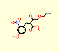 CCCOCC(=O)C(=Cc1ccc(OC)cc1[N+](=O)[O-])C(=O)OC